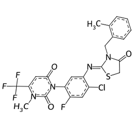 Cc1ccccc1CN1C(=O)CS/C1=N\c1cc(-n2c(=O)cc(C(F)(F)F)n(C)c2=O)c(F)cc1Cl